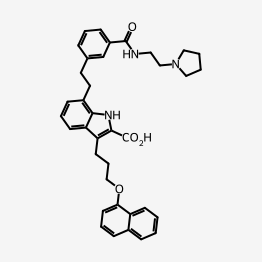 O=C(NCCN1CCCC1)c1cccc(CCc2cccc3c(CCCOc4cccc5ccccc45)c(C(=O)O)[nH]c23)c1